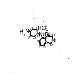 Cl.NC1CCC(Nc2cccc3cncc(F)c23)CC1